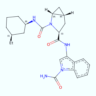 CC[C@H]1CCC[C@@H](NC(=O)N2[C@@H]3C[C@@H]3C[C@H]2C(=O)Nc2cn(C(N)=O)c3ccccc23)C1